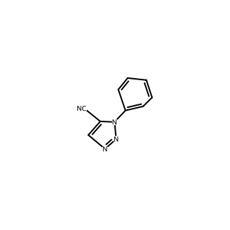 N#Cc1cnnn1-c1ccccc1